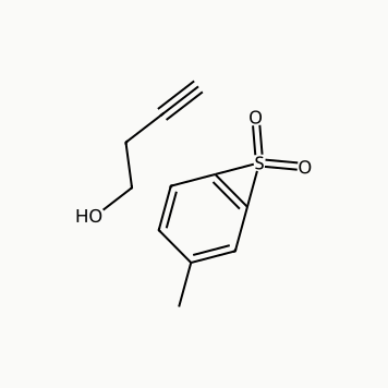 C#CCCO.Cc1ccc2c(c1)S2(=O)=O